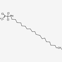 C=C(Cl)C(Cl)(Cl)PCCCCCCCCCCCCCCCCCCCC